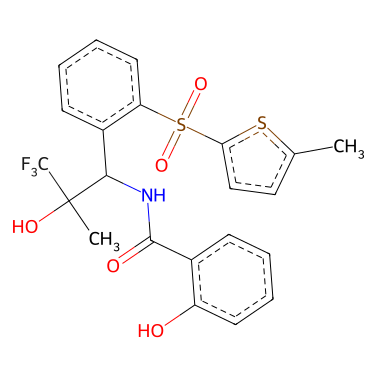 Cc1ccc(S(=O)(=O)c2ccccc2C(NC(=O)c2ccccc2O)C(C)(O)C(F)(F)F)s1